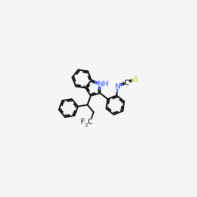 FC(F)(F)CC(c1ccccc1)c1c(-c2ccccc2N=C=S)[nH]c2ccccc12